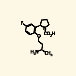 C[C@@H](N)CCOc1ccc(F)cc1[C@H]1CCCN1C(=O)O